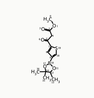 COC(=O)CC(=O)c1cc(B2OC(C)C(C)(C)O2)cs1